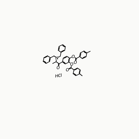 Cc1ccc(C(=O)Oc2ccc(C(=O)C(C)N(Cc3ccccc3)Cc3ccccc3)cc2OC(=O)c2ccc(C)cc2)cc1.Cl